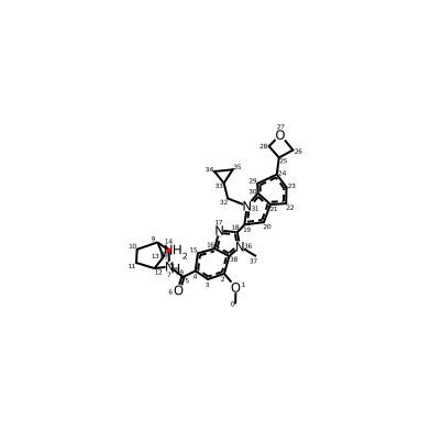 COc1cc(C(=O)N2CC3CCC2[C@@H]3N)cc2nc(-c3cc4ccc(C5COC5)cc4n3CC3CC3)n(C)c12